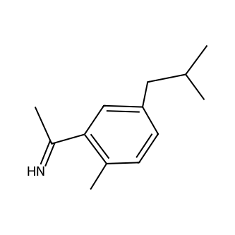 CC(=N)c1cc(CC(C)C)ccc1C